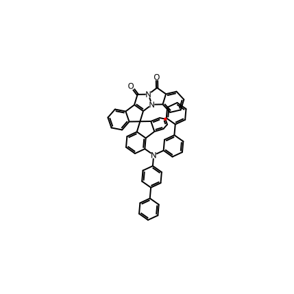 O=c1c2c(n3c4ccccc4c(=O)n13)C1(c3ccccc3-c3c(N(c4ccc(-c5ccccc5)cc4)c4cccc(-c5ccccc5)c4)cccc31)c1ccccc1-2